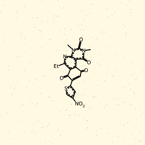 CCc1nc2c(c3c1C(=O)C(c1cc([N+](=O)[O-])cs1)=CC3=O)c(=O)n(C)c(=O)n2C